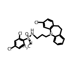 CN=S(=O)(NCCCN1c2ccccc2CCc2ccc(Cl)cc21)c1ccc(Cl)cc1Cl